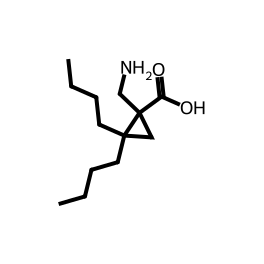 CCCCC1(CCCC)CC1(CN)C(=O)O